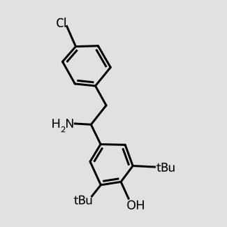 CC(C)(C)c1cc(C(N)Cc2ccc(Cl)cc2)cc(C(C)(C)C)c1O